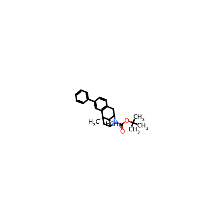 C[C@@H]1C2Cc3ccc(-c4ccccc4)cc3[C@]1(C)CCN2C(=O)OC(C)(C)C